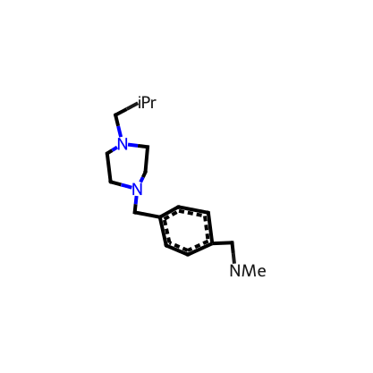 CNCc1ccc(CN2CCN(CC(C)C)CC2)cc1